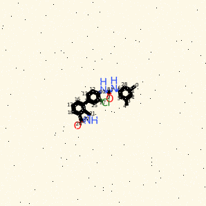 Cc1cc(C)cc(NC(=O)Nc2ccc(-c3cccc4c3CNC4=O)cc2Cl)c1